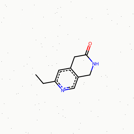 CCc1cc2c(cn1)CNC(=O)C2